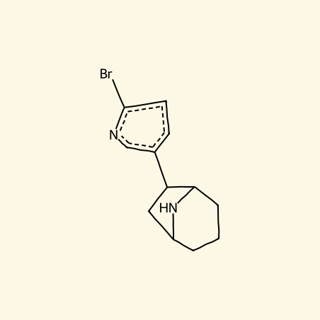 Brc1ccc(C2CC3CCCC2N3)cn1